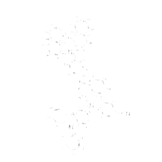 N#Cc1ccc(N(c2ccc3c(c2)C2C=CC=CC2N3c2ccccc2)c2ccc(-c3ccc(N(c4ccc5ccccc5c4)c4cccc5ccccc45)cc3)c3ccccc23)cc1